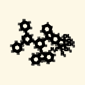 CC1(C)c2cc3c4ccccc4n(-c4cc(-c5cc(-c6ccccc6)nc(-c6ccccc6)n5)cc(-n5c6ccccc6c6ccccc65)c4)c3cc2C(C)(C)C1(C)C